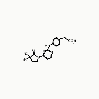 CCC1(C#N)CCN(c2ccnc(Nc3ccc(CC(=O)O)cc3)n2)C1=O